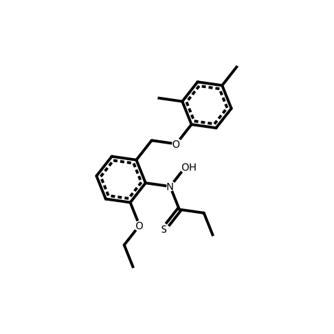 CCOc1cccc(COc2ccc(C)cc2C)c1N(O)C(=S)CC